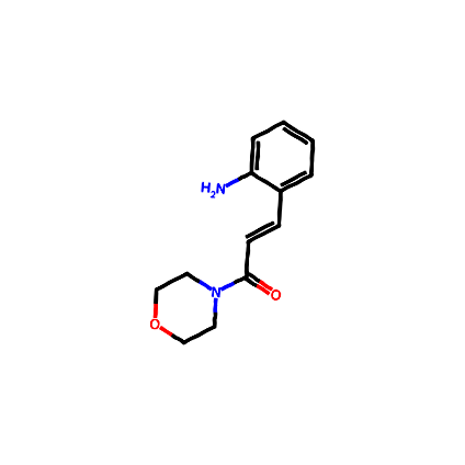 Nc1ccccc1C=CC(=O)N1CCOCC1